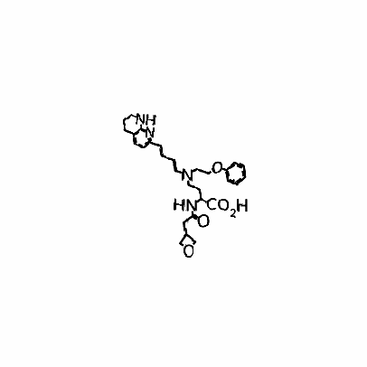 O=C(CC1COC1)NC(CCN(CCCCc1ccc2c(n1)NCCC2)CCOc1ccccc1)C(=O)O